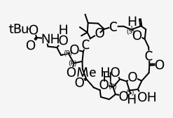 C=C1CC2CCC(=O)CC3OC4C(O)[C@H]5OC(CCC5O[C@H]4C3O)CC(=O)CC3C(CC4OC(CC[C@@H]1O2)CC(C)C4(C)C)O[C@H](CC(O)CNC(=O)OC(C)(C)C)[C@@H]3OC